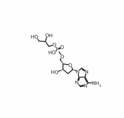 Nc1ncnc2c1ncn2[C@H]1C[C@@H](O)[C@@H](COP(=O)(O)OCC(O)CO)O1